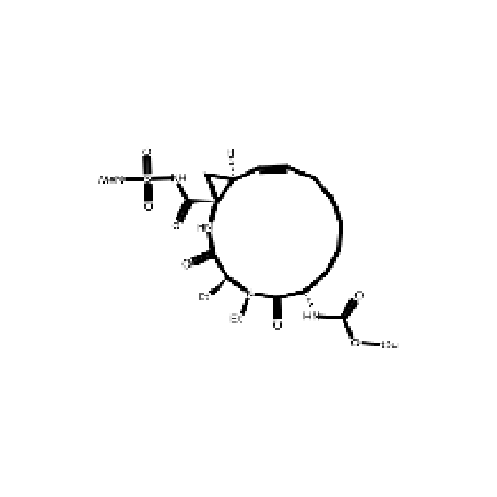 CC[C@H]1C(=O)N[C@]2(C(=O)NS(=O)(=O)NC)C[C@H]2/C=C\CCCCC[C@H](NC(=O)OC(C)(C)C)C(=O)N1CC